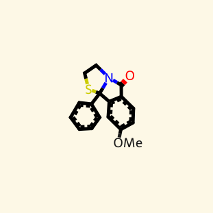 COc1ccc2c(c1)C1(c3ccccc3)SCCN1C2=O